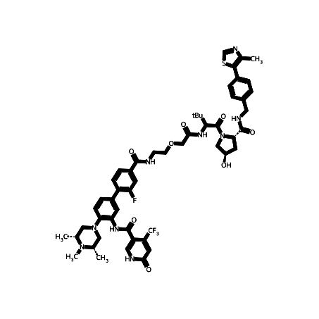 Cc1ncsc1-c1ccc(CNC(=O)[C@@H]2C[C@@H](O)CN2C(=O)C(NC(=O)COCCNC(=O)c2ccc(-c3ccc(N4C[C@@H](C)N(C)[C@@H](C)C4)c(NC(=O)c4c[nH]c(=O)cc4C(F)(F)F)c3)c(F)c2)C(C)(C)C)cc1